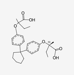 CCC(C)(Oc1ccc(C2(c3ccc(O[C@@](C)(CC)C(=O)O)cc3)CCCCC2)cc1)C(=O)O